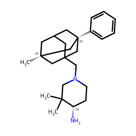 CC1(C)CN(CC23CC4C[C@](C)(C2)C[C@@](c2ccccc2)(C4)C3)CC[C@@H]1N